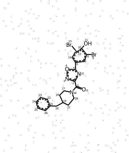 O=C(c1noc(-c2cc(Br)c(O)c(Br)c2)n1)N1CCC(Cc2ccccc2)CC1